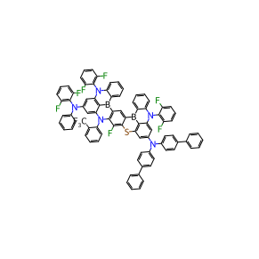 Fc1cccc(F)c1N(c1ccccc1)c1cc2c3c(c1)N(c1ccccc1C(F)(F)F)c1c(cc4c(c1F)Sc1cc(N(c5ccc(-c6ccccc6)cc5)c5ccc(-c6ccccc6)cc5)cc5c1B4c1ccccc1N5c1c(F)cccc1F)B3c1ccccc1N2c1c(F)cccc1F